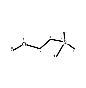 [CH2]OCC[Si](C)(C)C